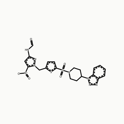 O=CNc1cc([N+](=O)[O-])n(Cc2ccc(S(=O)(=O)N3CCC(n4nnc5ccccc54)CC3)s2)n1